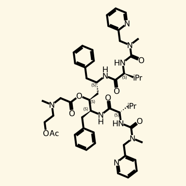 CC(=O)OCCN(C)CC(=O)O[C@@H](C[C@H](Cc1ccccc1)NC(=O)[C@@H](NC(=O)N(C)Cc1ccccn1)C(C)C)[C@H](Cc1ccccc1)NC(=O)[C@@H](NC(=O)N(C)Cc1ccccn1)C(C)C